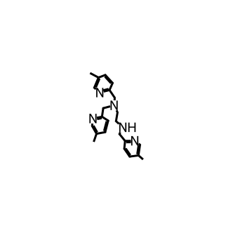 Cc1ccc(CNCCN(Cc2ccc(C)cn2)Cc2ccc(C)cn2)nc1